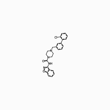 O=C(Nc1noc2ccccc12)N1CCN(Cc2cccc(-c3ccccc3Cl)c2)CC1